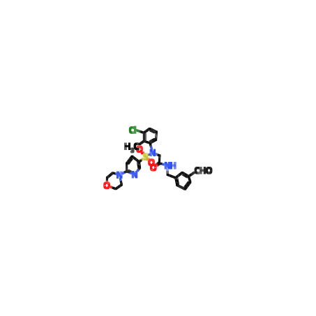 Cc1c(Cl)cccc1N(CC(=O)NCc1cccc(C=O)c1)S(=O)(=O)c1ccc(N2CCOCC2)nc1